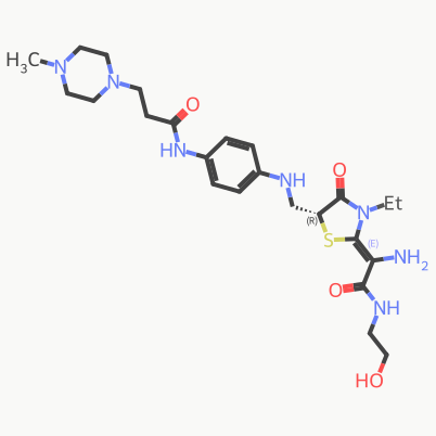 CCN1C(=O)[C@@H](CNc2ccc(NC(=O)CCN3CCN(C)CC3)cc2)S/C1=C(/N)C(=O)NCCO